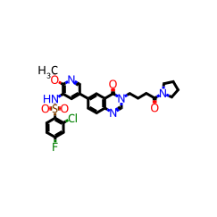 COc1ncc(-c2ccc3ncn(CCCC(=O)N4CCCC4)c(=O)c3c2)cc1NS(=O)(=O)c1ccc(F)cc1Cl